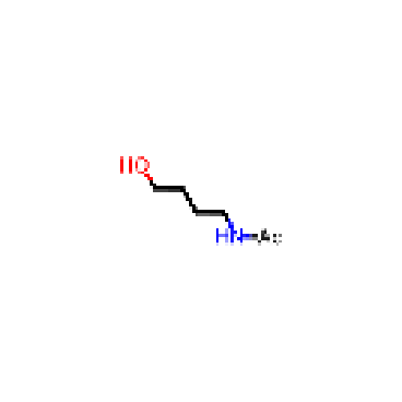 CC(=O)NCCCCO